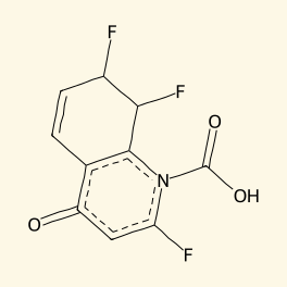 O=C(O)n1c(F)cc(=O)c2c1C(F)C(F)C=C2